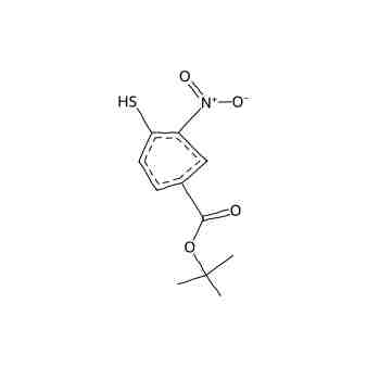 CC(C)(C)OC(=O)c1ccc(S)c([N+](=O)[O-])c1